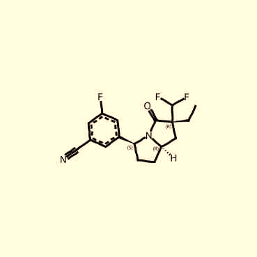 CC[C@@]1(C(F)F)C[C@H]2CC[C@@H](c3cc(F)cc(C#N)c3)N2C1=O